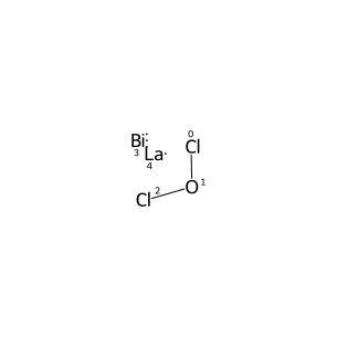 ClOCl.[Bi].[La]